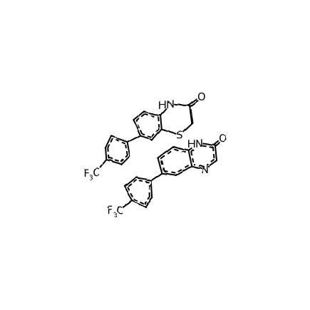 O=C1CSc2cc(-c3ccc(C(F)(F)F)cc3)ccc2N1.O=c1cnc2cc(-c3ccc(C(F)(F)F)cc3)ccc2[nH]1